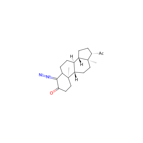 CC(=O)[C@H]1CC[C@H]2[C@@H]3CCC4C(=[N+]=[N-])C(=O)CC[C@]4(C)[C@H]3CC[C@]12C